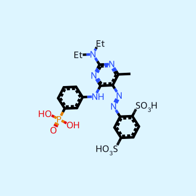 CCN(CC)c1nc(C)c(/N=N/c2cc(S(=O)(=O)O)ccc2S(=O)(=O)O)c(Nc2cccc(P(=O)(O)O)c2)n1